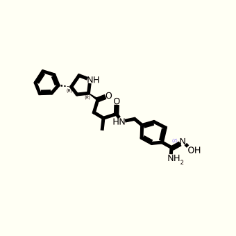 CC(CC(=O)[C@H]1C[C@H](c2ccccc2)CN1)C(=O)NCc1ccc(/C(N)=N/O)cc1